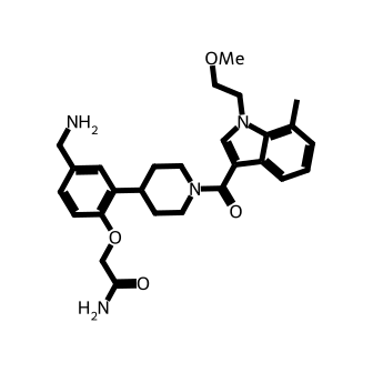 COCCn1cc(C(=O)N2CCC(c3cc(CN)ccc3OCC(N)=O)CC2)c2cccc(C)c21